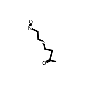 CC(=O)CCSCCN=O